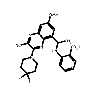 COc1cc(C(C)Nc2ccccc2C(=O)O)c2nc(N3CCC(F)(F)CC3)c(C#N)nc2c1